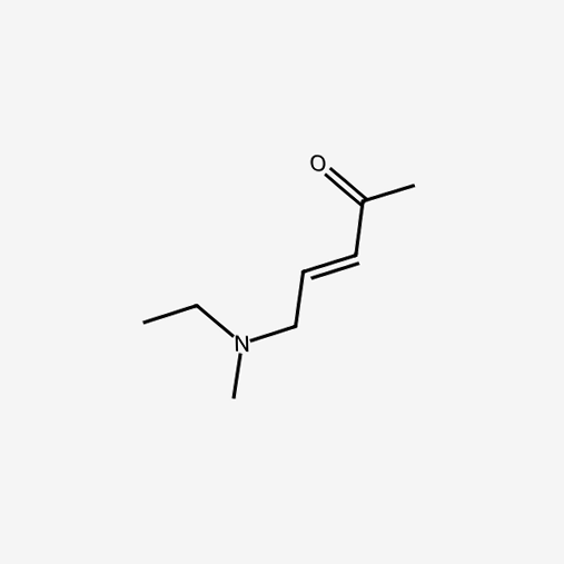 CCN(C)C/C=C/C(C)=O